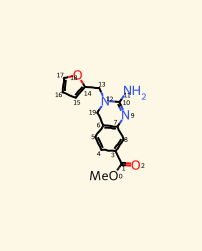 COC(=O)c1ccc2c(c1)N=C(N)N(Cc1ccco1)C2